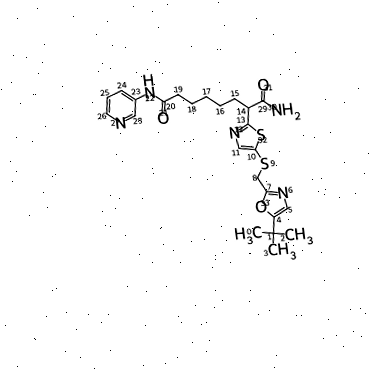 CC(C)(C)c1cnc(CSc2cnc(C(CCCCCC(=O)Nc3cccnc3)C(N)=O)s2)o1